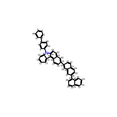 c1ccc(-c2ccc(-n3c4ccccc4c4c5ccc(-c6ccc7ccc(-c8cccc9ccccc89)cc7c6)cc5ccc43)cc2)cc1